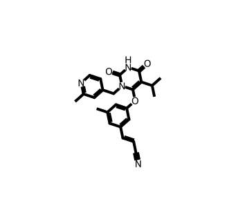 Cc1cc(/C=C/C#N)cc(Oc2c(C(C)C)c(=O)[nH]c(=O)n2Cc2ccnc(C)c2)c1